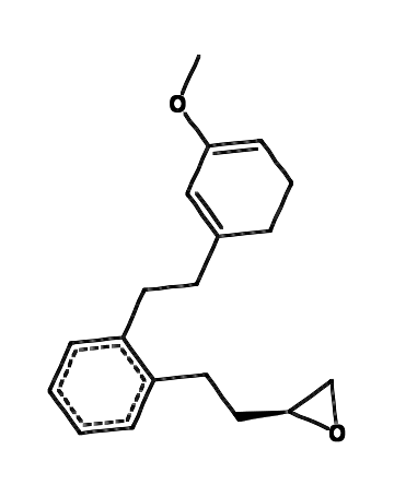 COC1=CCCC(CCc2ccccc2CC[C@H]2CO2)=C1